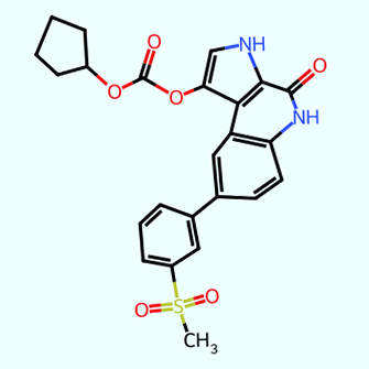 CS(=O)(=O)c1cccc(-c2ccc3[nH]c(=O)c4[nH]cc(OC(=O)OC5CCCC5)c4c3c2)c1